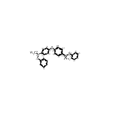 CN(Sc1ccccc1)c1ccc(Oc2ccc(N(C)Sc3ccccc3)cc2)cc1